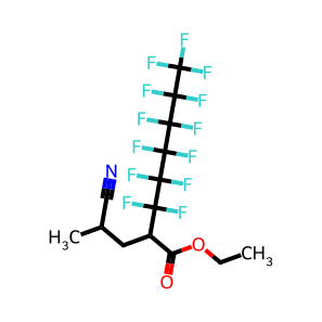 CCOC(=O)C(CC(C)C#N)C(F)(F)C(F)(F)C(F)(F)C(F)(F)C(F)(F)C(F)(F)F